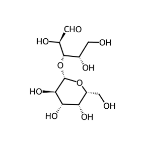 O=C[C@H](O)[C@@H](O[C@@H]1O[C@H](CO)[C@H](O)[C@H](O)[C@H]1O)[C@@H](O)CO